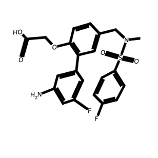 CN(Cc1ccc(OCC(=O)O)c(-c2cc(N)cc(F)c2)c1)S(=O)(=O)c1ccc(F)cc1